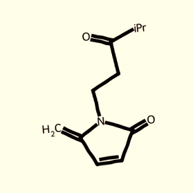 C=C1C=CC(=O)N1CCC(=O)C(C)C